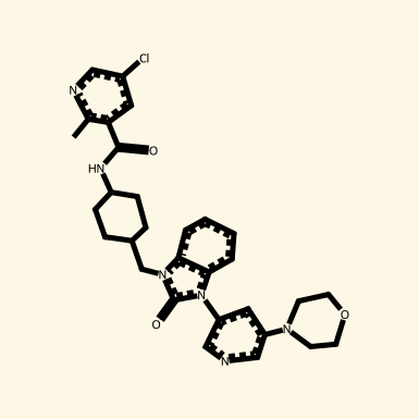 Cc1ncc(Cl)cc1C(=O)NC1CCC(Cn2c(=O)n(-c3cncc(N4CCOCC4)c3)c3ccccc32)CC1